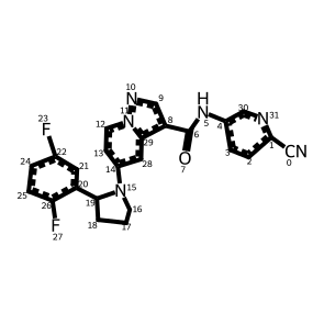 N#Cc1ccc(NC(=O)c2cnn3ccc(N4CCCC4c4cc(F)ccc4F)cc23)cn1